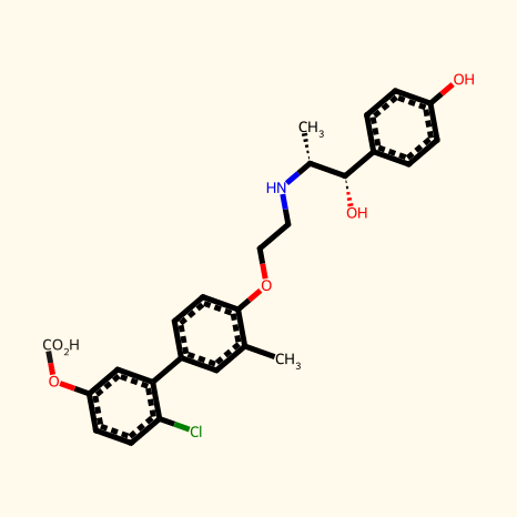 Cc1cc(-c2cc(OC(=O)O)ccc2Cl)ccc1OCCN[C@H](C)[C@@H](O)c1ccc(O)cc1